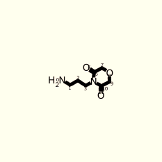 NCCCN1C(=O)COCC1=O